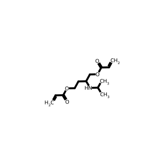 C=CC(=O)OCCC(COC(=O)C=C)NC(C)C